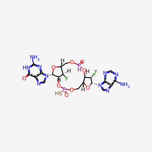 Nc1nc2c(ncn2[C@@H]2O[C@@H]3CO[PH](=O)O[C@H]4[C@@H](F)[C@H](n5cnc6c(N)ncnc65)O[C@@H]4CO[P@@](=O)(S)O[C@@H]2[C@@H]3F)c(=O)[nH]1